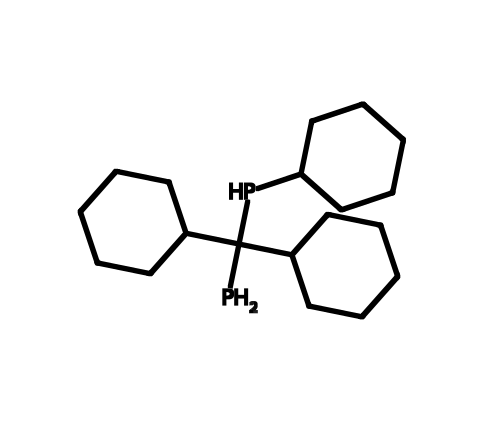 PC(PC1CCCCC1)(C1CCCCC1)C1CCCCC1